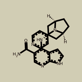 NC(=O)c1cnc2[nH]ccc2c1N[C@@H]1C[C@H]2CC[C@@H](C1)N2c1ccncc1